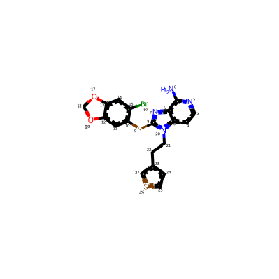 Nc1nccc2c1nc(Sc1cc3c(cc1Br)OCO3)n2CCc1ccsc1